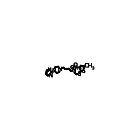 Cc1cc2c(s1)SCC[N+]([O-])(CCCCN1CCN(c3ncccn3)CC1)C2=O